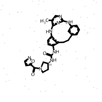 Cc1cnc2nc1Nc1ccc(NC(=O)N[C@H]3CCN(C(=O)c4ccno4)C3)c(c1)CCc1cccc(c1)N2